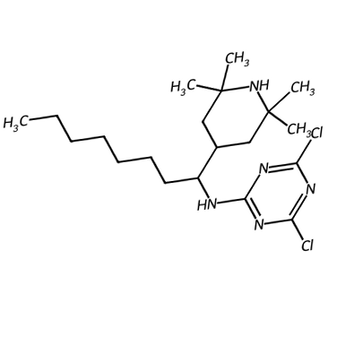 CCCCCCCC(Nc1nc(Cl)nc(Cl)n1)C1CC(C)(C)NC(C)(C)C1